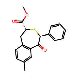 COC(=O)[C@H]1Cc2ccc(C)cc2C(=O)[C@H](c2ccccc2)S1